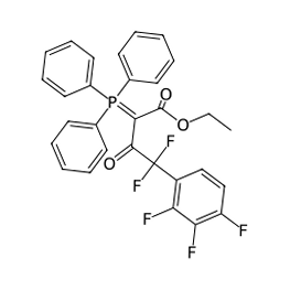 CCOC(=O)C(C(=O)C(F)(F)c1ccc(F)c(F)c1F)=P(c1ccccc1)(c1ccccc1)c1ccccc1